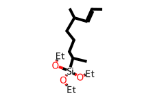 CC=CC(C)CCCC(C)[Si](OCC)(OCC)OCC